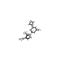 Nc1cnn([C@H]2C[C@H](F)CN(C3COC3)C2)c1Cl